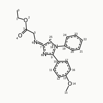 CCOC(=O)CN=c1nc(-c2ccc(OC)cc2)n(-c2ccccc2)s1